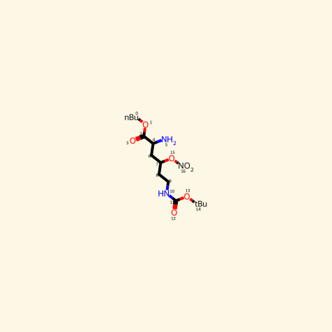 CCCCOC(=O)C(N)CC(CCNC(=O)OC(C)(C)C)O[N+](=O)[O-]